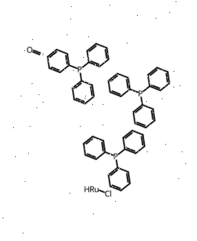 [C]=O.[Cl][RuH].c1ccc(P(c2ccccc2)c2ccccc2)cc1.c1ccc(P(c2ccccc2)c2ccccc2)cc1.c1ccc(P(c2ccccc2)c2ccccc2)cc1